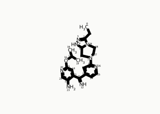 CCC1=NNC2CN(c3cc(C(=N)c4cc(OC(C)C)ncc4N)ccn3)CCN12